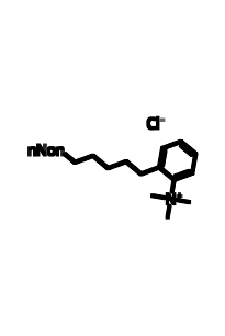 CCCCCCCCCCCCCCc1ccccc1[N+](C)(C)C.[Cl-]